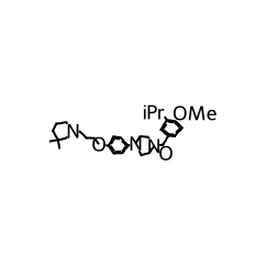 COc1ccc(C(=O)N2CCN(c3ccc(OCCCN4CCCC(C)(C)C4)cc3)CC2)cc1C(C)C